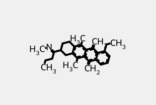 C=c1c2cccc(CC)c2c(=C)c2c(C)c3c(c(C)c12)CC(/C(CCC)=N/C)CC3